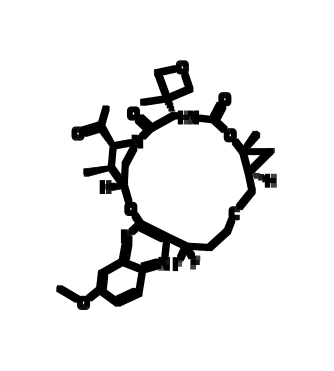 COc1ccc2nc3c(nc2c1)O[C@H]1CN(C(=O)[C@H](C2(C)COC2)NC(=O)O[C@]2(C)C[C@H]2CCCCC3(F)F)[C@H](C(C)=O)[C@@H]1C